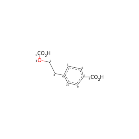 O=C(O)OCCc1ccc(C(=O)O)cc1